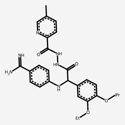 CCOc1cc(C(Nc2ccc(C(=N)N)cc2)C(=O)NNC(=O)c2ccc(C)cn2)ccc1OC(C)C